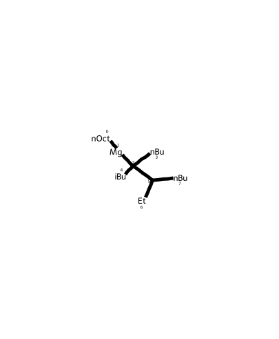 CCCCCCC[CH2][Mg][C](CCCC)(C(C)CC)C(CC)CCCC